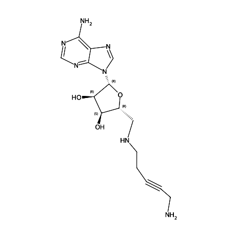 NCC#CCCNC[C@H]1O[C@@H](n2cnc3c(N)ncnc32)[C@H](O)[C@@H]1O